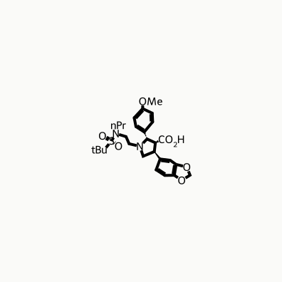 CCCN(CCN1C[C@H](c2ccc3c(c2)OCO3)[C@H](C(=O)O)[C@H]1c1ccc(OC)cc1)S(=O)(=O)C(C)(C)C